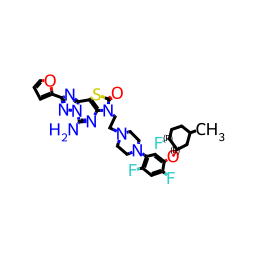 CC1CC[C@@H](F)[C@H](Oc2cc(N3CCN(CCn4c(=O)sc5c4nc(N)n4nc(-c6ccco6)nc54)CC3)c(F)cc2F)C1